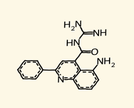 N=C(N)NC(=O)c1cc(-c2ccccc2)nc2cccc(N)c12